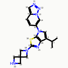 CC(C)c1cn(-c2ccc3cnnn3c2)c2sc(N3CC4(CNC4)C3)nc12